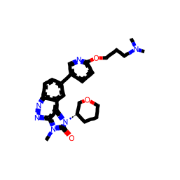 CN(C)CCCOc1ccc(-c2ccc3nnc4c(c3c2)n([C@H]2CCCOC2)c(=O)n4C)cn1